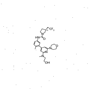 Cc1ccc(NC(=O)N2CC[C@@H](CC(F)(F)F)C2)cc1-c1cc(N(C)CCO)nc(N2CCOCC2)c1